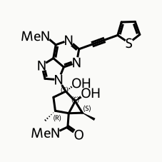 CNC(=O)C12[C@H](C)C[C@@](O)(n3cnc4c(NC)nc(C#Cc5cccs5)nc43)[C@]1(O)[C@H]2C